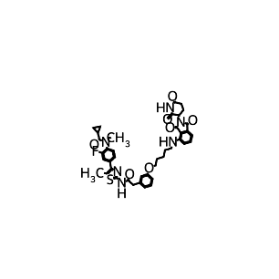 Cc1sc(NC(=O)Cc2cccc(OCCCCCNc3cccc4c3C(=O)N(C3CCC(=O)NC3=O)C4=O)c2)nc1-c1ccc(N(C)C(=O)C2CC2)c(F)c1